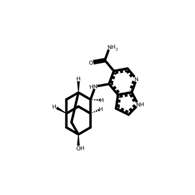 NC(=O)c1cnc2[nH]ccc2c1N[C@H]1[C@@H]2C[C@H]3C[C@H]1C[C@@](O)(C3)C2